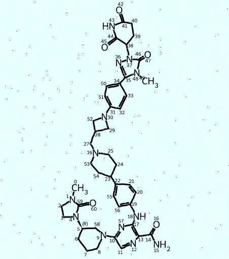 CN1CCN([C@@H]2CCCN(c3cnc(C(N)=O)c(Nc4ccc(C5CCN(CC6CN(c7ccc(-c8nn(C9CCC(=O)NC9=O)c(=O)n8C)cc7)C6)CC5)cc4)n3)C2)C1=O